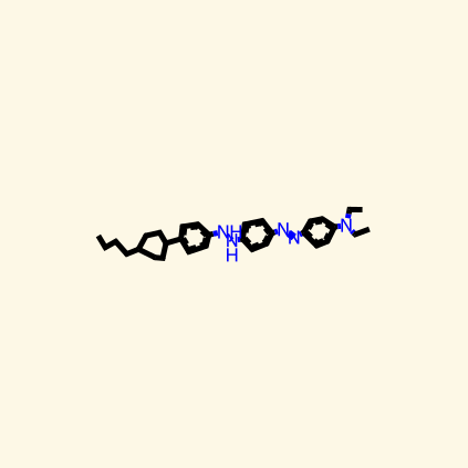 CCCCC1CCC(c2ccc(NNc3ccc(/N=N/c4ccc(N(CC)CC)cc4)cc3)cc2)CC1